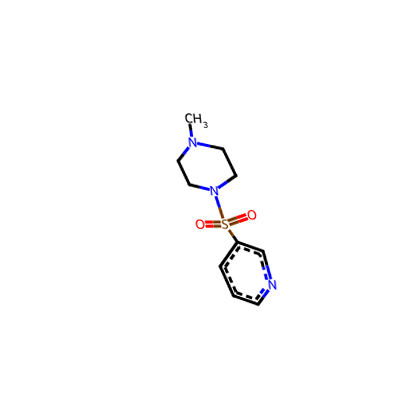 CN1CCN(S(=O)(=O)c2cccnc2)CC1